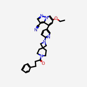 CCOc1cc(-c2ccc(N3CC4(CCN(C(=O)CCc5ccccc5)CC4)C3)nc2)c2c(C#N)cnn2c1